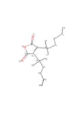 CCCCC(C)(C)C1C(=O)OC(=O)C1C(C)(C)CCCC